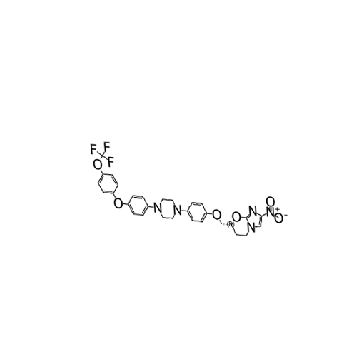 O=[N+]([O-])c1cn2c(n1)O[C@@H](COc1ccc(N3CCN(c4ccc(Oc5ccc(OC(F)(F)F)cc5)cc4)CC3)cc1)CC2